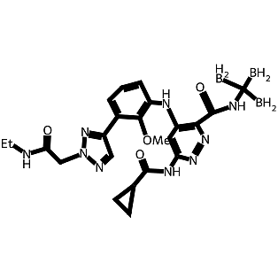 BC(B)(B)NC(=O)c1nnc(NC(=O)C2CC2)cc1Nc1cccc(-c2cnn(CC(=O)NCC)n2)c1OC